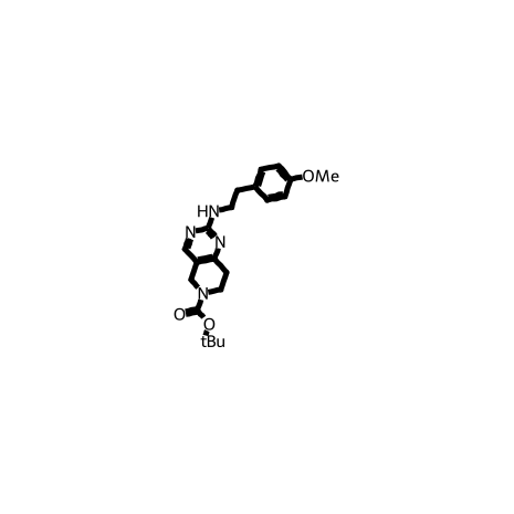 COc1ccc(CCNc2ncc3c(n2)CCN(C(=O)OC(C)(C)C)C3)cc1